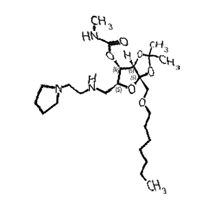 CCCCCCCOC[C@@]12O[C@@H](CNCCN3CCCC3)[C@@H](OC(=O)NC)[C@@H]1OC(C)(C)O2